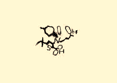 CC(O)CCCN(C(=O)C1CCC(C)CC1)c1cc(C(C)(C)C)sc1C(=O)O